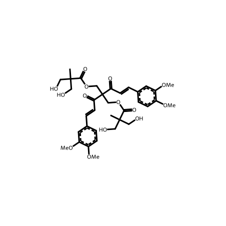 COc1ccc(/C=C/C(=O)C(COC(=O)C(C)(CO)CO)(COC(=O)C(C)(CO)CO)C(=O)/C=C/c2ccc(OC)c(OC)c2)cc1OC